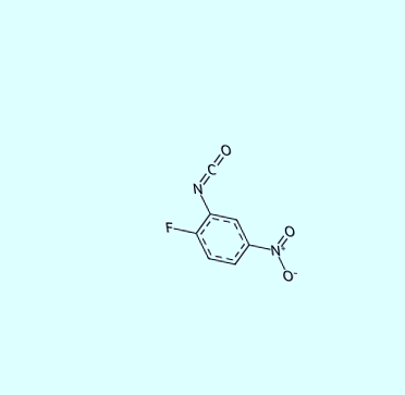 O=C=Nc1cc([N+](=O)[O-])ccc1F